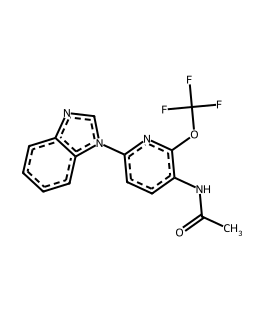 CC(=O)Nc1ccc(-n2cnc3ccccc32)nc1OC(F)(F)F